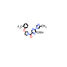 COc1nc(C(=O)N2CC[C@@H](Oc3ccccc3C(F)(F)F)C2)cnc1-n1cnc(C)c1